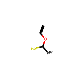 C=COC(S)CCC